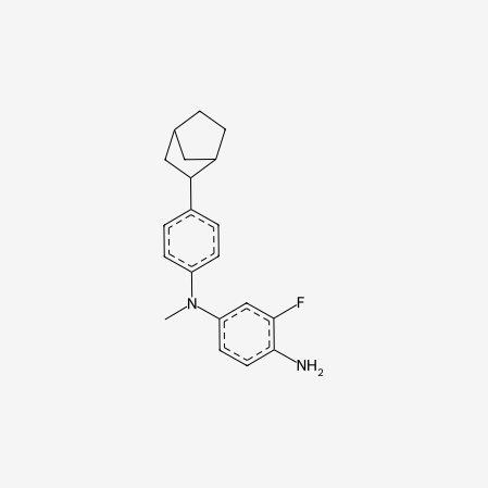 CN(c1ccc(C2CC3CCC2C3)cc1)c1ccc(N)c(F)c1